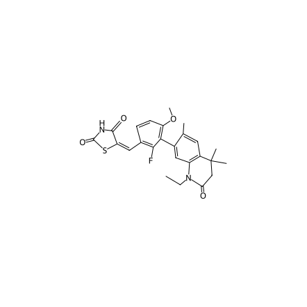 CCN1C(=O)CC(C)(C)c2cc(C)c(-c3c(OC)ccc(C=C4SC(=O)NC4=O)c3F)cc21